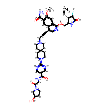 CC[C@H]1C(COc2ncc(C#CCN3CCC4(CC3)CCN(c3ncc(C(=O)NCC(=O)N5CCC(O)C5)cn3)CC4)c3cc(C(N)=O)c(OC)cc23)NC(=O)C1F